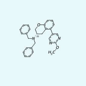 COc1ncc(-c2cccc3c2C[C@H](N(Cc2ccccc2)Cc2ccccc2)CO3)cn1